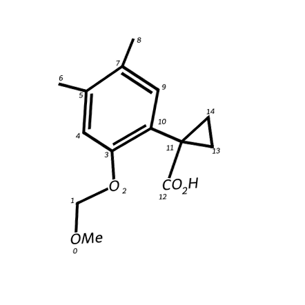 COCOc1cc(C)c(C)cc1C1(C(=O)O)CC1